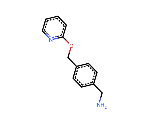 NCc1ccc(COc2ccccn2)cc1